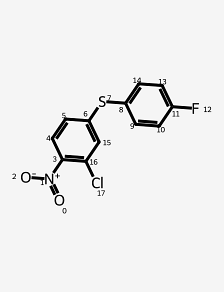 O=[N+]([O-])c1ccc(Sc2ccc(F)cc2)cc1Cl